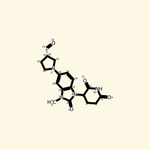 Cn1c(=O)n(C2CCC(=O)NC2=O)c2ccc(N3CC[C@H](C=O)C3)cc21